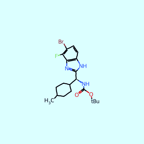 CC1CCC([C@H](NC(=O)OC(C)(C)C)c2nc3c(F)c(Br)ccc3[nH]2)CC1